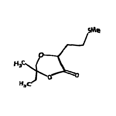 CSCCC1OC(C)(C)OC1=O